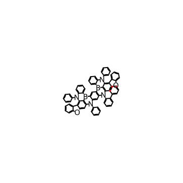 c1ccc(-c2ccccc2N2c3cc4c(cc3B3c5ccccc5N(c5ccccc5)c5c3c2cc2oc3ccccc3c52)B2c3ccccc3N(c3ccccc3)c3c2c(cc2oc5ccccc5c32)N4c2ccccc2)cc1